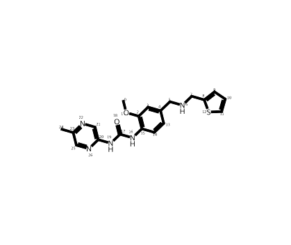 COc1cc(CNCc2cccs2)ccc1NC(=O)Nc1cnc(C)cn1